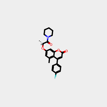 Cc1cc(O[C@H](C)C(=O)N2CCCCC2)cc2oc(=O)cc(-c3ccc(F)cc3)c12